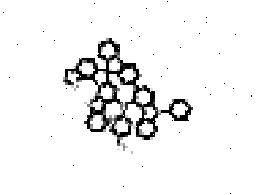 Cc1ccc(N(c2cc3c(c4oc5ccccc5c24)-c2c(ccc4ccoc24)C32c3ccccc3-c3ccc(F)cc32)c2cccc3c2c2ccccc2n3-c2ccccc2)nc1